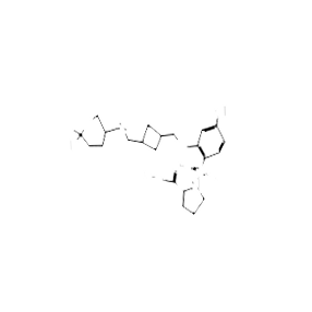 COC(=O)[C@@H]1CCCN1S(=O)(=O)c1ccc(C)cc1OCC1CC(CNC2CCC(F)(F)CC2)C1